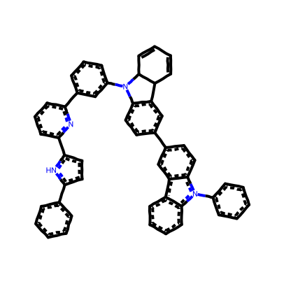 C1=CC2c3cc(-c4ccc5c(c4)c4ccccc4n5-c4ccccc4)ccc3N(c3cccc(-c4cccc(-c5ccc(-c6ccccc6)[nH]5)n4)c3)C2C=C1